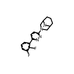 CN1C2CCCC1CN(c1ccc(-c3cccc(F)c3F)nn1)C2